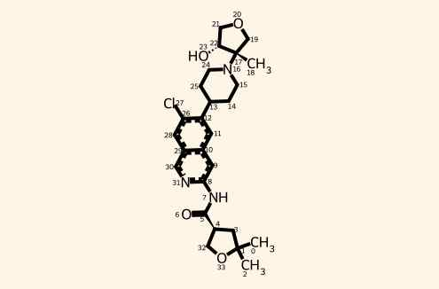 CC1(C)C[C@H](C(=O)Nc2cc3cc(C4CCN([C@@]5(C)COC[C@H]5O)CC4)c(Cl)cc3cn2)CO1